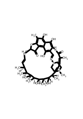 C/C1=C/C=C/[C@H](C)[C@H](O)[C@@H](C)[C@@H](O)[C@@H](C)[C@H](O)[C@H](C)[C@@H](C)/C=C/O[C@@]2(C)Oc3c(C)c(O)c4c(O)c(c(/C=N/N5CCN(C)CC5)c(O)c4c3C2=O)NC1=O